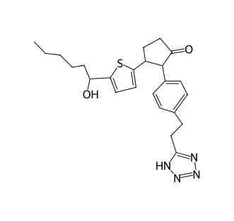 CCCCCC(O)c1ccc(C2CCC(=O)C2c2ccc(CCc3nnn[nH]3)cc2)s1